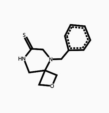 S=C1CN(Cc2ccccc2)C2(CN1)COC2